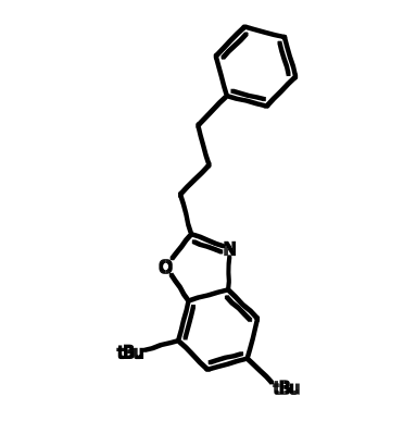 CC(C)(C)c1cc(C(C)(C)C)c2oc(CCCc3ccccc3)nc2c1